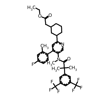 CCOC(=O)CC1CCCC(c2cc(-c3ccc(F)cc3C)c(N(C)C(=O)C(C)(C)c3cc(C(F)(F)F)cc(C(F)(F)F)c3)cn2)C1